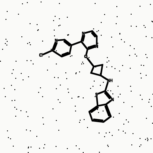 Clc1ccc(-c2nccnc2OC2CC(Nc3nc4ccccc4s3)C2)cn1